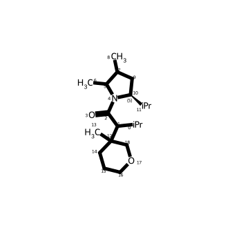 CC(C)C(C(=O)N1C(C)C(C)C[C@H]1C(C)C)C1(C)CCCOC1